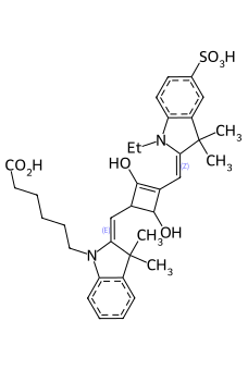 CCN1/C(=C\C2=C(O)C(/C=C3/N(CCCCCC(=O)O)c4ccccc4C3(C)C)C2O)C(C)(C)c2cc(S(=O)(=O)O)ccc21